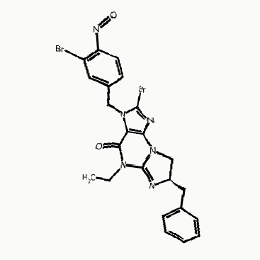 CCN1C(=O)c2c(nc(Br)n2Cc2ccc(N=O)c(Br)c2)N2C[C@@H](Cc3ccccc3)N=C12